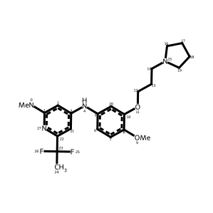 CNc1cc(Nc2ccc(OC)c(OCCCN3CCCC3)c2)cc(C(C)(F)F)n1